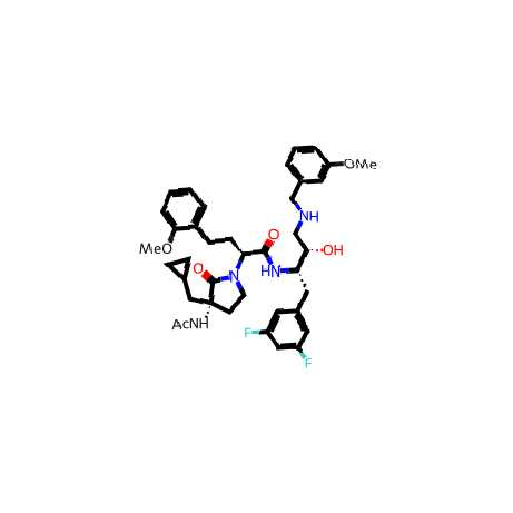 COc1cccc(CNC[C@H](O)[C@H](Cc2cc(F)cc(F)c2)NC(=O)[C@H](CCc2ccccc2OC)N2CC[C@](CC3CC3)(NC(C)=O)C2=O)c1